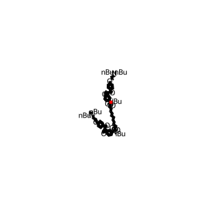 CCCCN(CCCC)CCCOc1ccc(C(=O)c2coc3ccc(N(C(C)CC)S(=O)(=O)CCCCCCCCCCS(=O)(=O)N(c4ccc5occ(C(=O)c6ccc(OCCCN(CCCC)CCCC)cc6)c5c4)C(C)CC)cc23)cc1